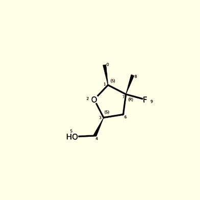 C[C@@H]1O[C@H](CO)C[C@@]1(C)F